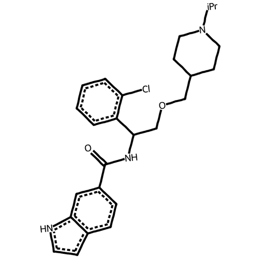 CC(C)N1CCC(COCC(NC(=O)c2ccc3cc[nH]c3c2)c2ccccc2Cl)CC1